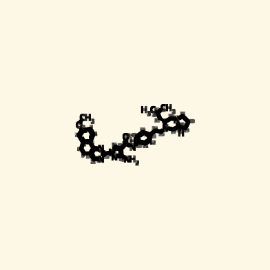 COc1ccc2c(c1)CCc1cnc(-n3cc(C(=O)Nc4ccc(CCN5C[C@@H]6CCCN6C[C@@H]5CC(C)C)cc4)c(N)n3)nc1-2